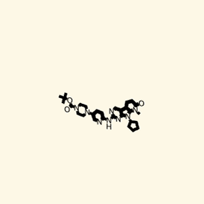 Cn1c(=O)ccc2c3cnc(Nc4ccc(N5CCN(C(=O)OC(C)(C)C)CC5)cn4)nc3n(C3CCCC3)c21